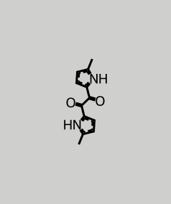 Cc1ccc(C(=O)C(=O)c2ccc(C)[nH]2)[nH]1